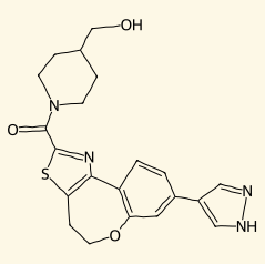 O=C(c1nc2c(s1)CCOc1cc(-c3cn[nH]c3)ccc1-2)N1CCC(CO)CC1